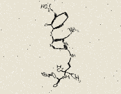 CC(C)(CCNc1cnc(Sc2cccc(C(=O)O)c2Cl)c(N)n1)NC(=O)OC(C)(C)C